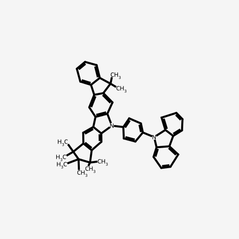 CC1(C)c2ccccc2-c2cc3c4cc5c(cc4n(-c4ccc(-n6c7ccccc7c7ccccc76)cc4)c3cc21)C(C)(C)C(C)(C)C5(C)C